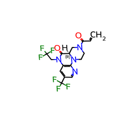 C=CC(=O)N1CCN2c3ncc(C(F)(F)F)cc3N(CC(F)(F)F)C(=O)[C@H]2C1